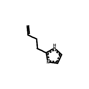 C=CC[CH]c1ncc[nH]1